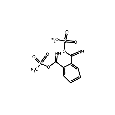 N=C(OS(=O)(=O)C(F)(F)F)c1ccccc1C(=N)OS(=O)(=O)C(F)(F)F